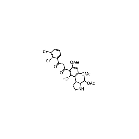 COc1cc(OC)c(C2CCNC2C(C)OC(C)=O)c(O)c1C(=O)CC(=O)c1cccc(Cl)c1Cl